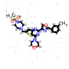 Cc1cccc(-c2nc(-c3nc(N4CCOCC4)c4sc(CN5CCN(S(C)(=O)=O)CC5)cc4n3)co2)c1